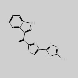 Cc1nnc(-c2csc(C(=O)c3c[nH]c4ccccc34)n2)[nH]1